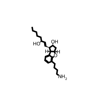 CCCCC[C@H](O)C=C[C@@H]1[C@H]2c3cccc(CCCCN)c3O[C@H]2C[C@H]1O